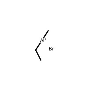 C[CH2][Al+][CH3].[Br-]